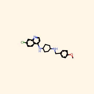 COc1ccc(CNC2CCC(Nc3ccnc4cc(Cl)ccc34)CC2)cc1